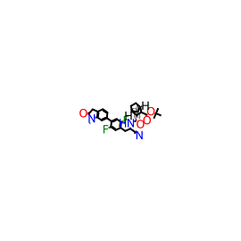 CN1C(=O)Cc2ccc(-c3cc(F)c(CC(C#N)NC(=O)[C@H]4C(C(=O)OC(C)(C)C)[C@@H]5CC[C@H]4C5)cc3F)cc21